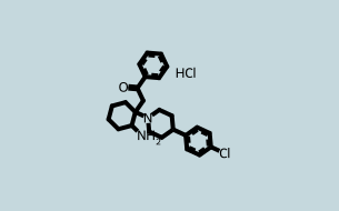 Cl.NC1CCCCC1(CC(=O)c1ccccc1)N1CCC(c2ccc(Cl)cc2)CC1